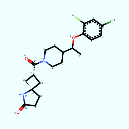 CC(Oc1ccc(Cl)cc1F)C1CCN(C(=O)[C@H]2C[C@@]3(CCC(=O)N3)C2)CC1